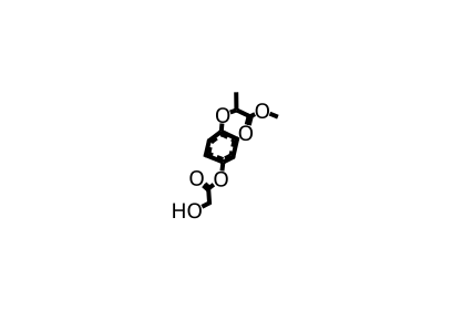 COC(=O)C(C)Oc1ccc(OC(=O)CO)cc1